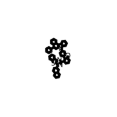 c1ccc(-c2cc3c(c4ccccc24)c2ccccc2n3-c2ccc3c(c2)oc2cccc(-c4nc(-c5ccc6ccccc6c5)c5sc6ccccc6c5n4)c23)cc1